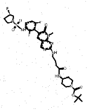 Cn1c(=O)c(-c2c(F)ccc(NS(=O)(=O)N3CC[C@@H](F)C3)c2F)cc2cnc(NCCCC(=O)NC3CCN(C(=O)OC(C)(C)C)CC3)nc21